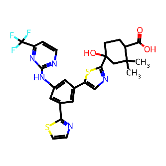 CC1(C)CC(O)(c2ncc(-c3cc(Nc4nccc(C(F)(F)F)n4)cc(-c4nccs4)c3)s2)CCC1C(=O)O